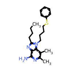 CCCCc1nc2c(N)nc(C)c(C)c2n1CCCCSc1ccccc1